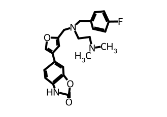 CN(C)CCN(Cc1ccc(F)cc1)Cc1cc(-c2ccc3[nH]c(=O)oc3c2)co1